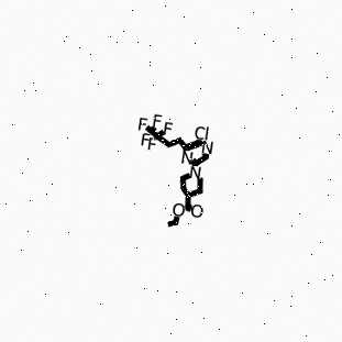 CCOC(=O)C1CCN(c2cnc(Cl)c(CCC(F)(F)C(F)(F)F)n2)CC1